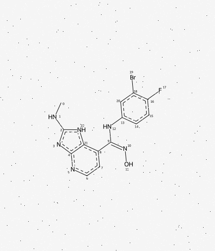 CNc1nc2nccc(/C(=N\O)Nc3ccc(F)c(Br)c3)c2[nH]1